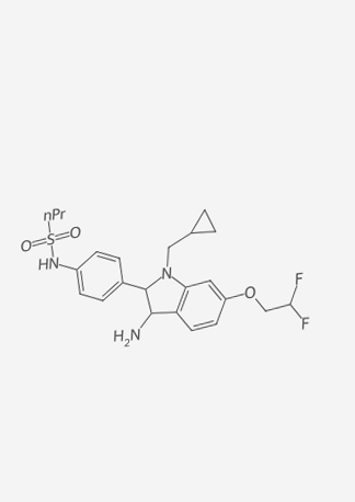 CCCS(=O)(=O)Nc1ccc(C2C(N)c3ccc(OCC(F)F)cc3N2CC2CC2)cc1